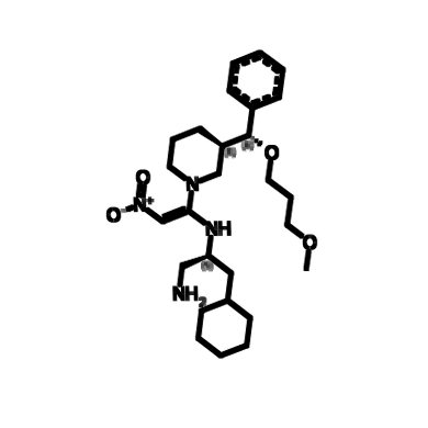 COCCCO[C@@H](c1ccccc1)[C@@H]1CCCN(C(=C[N+](=O)[O-])N[C@H](CN)CC2CCCCC2)C1